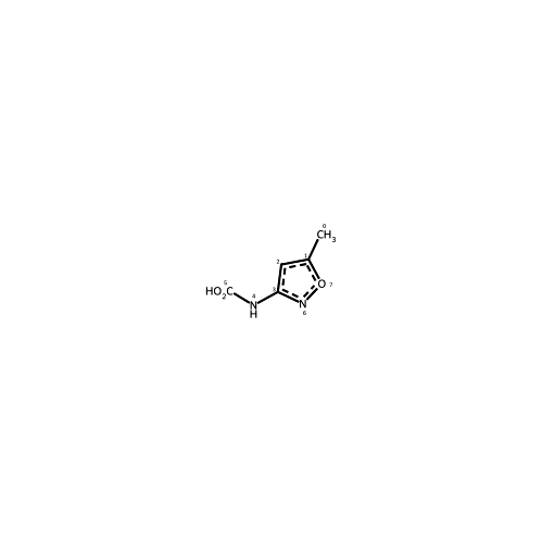 Cc1cc(NC(=O)O)no1